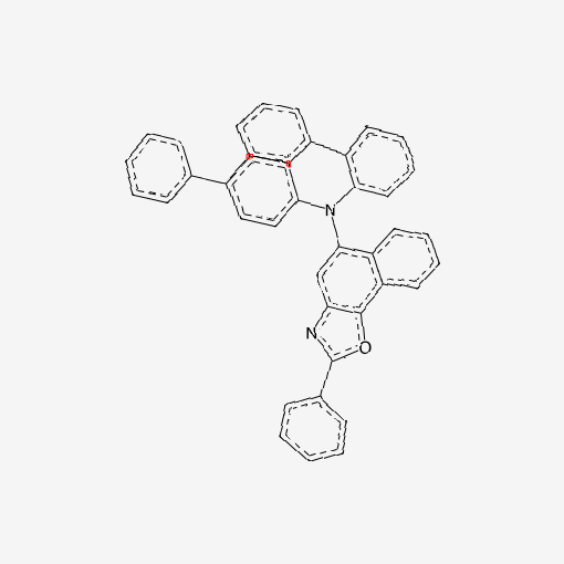 c1ccc(-c2ccc(N(c3ccccc3-c3ccccc3)c3cc4nc(-c5ccccc5)oc4c4ccccc34)cc2)cc1